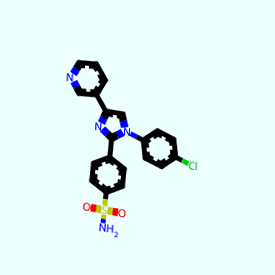 NS(=O)(=O)c1ccc(-c2nc(-c3cccnc3)cn2-c2ccc(Cl)cc2)cc1